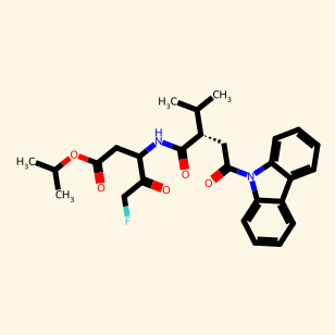 CC(C)OC(=O)CC(NC(=O)[C@@H](CC(=O)n1c2ccccc2c2ccccc21)C(C)C)C(=O)CF